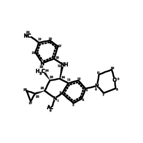 CC(=O)N1c2ccc(N3CCOCC3)cc2[C@H](Nc2ccc(C#N)cn2)[C@@H](C)[C@H]1C1CC1